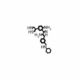 N=C/C(=C\S)c1ccc(N)c(C(=N)/C(N)=C/c2cccc(CNC3CCCCC3)c2)c1